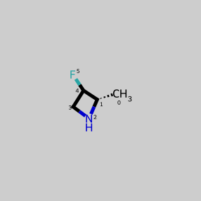 C[C@@H]1NCC1F